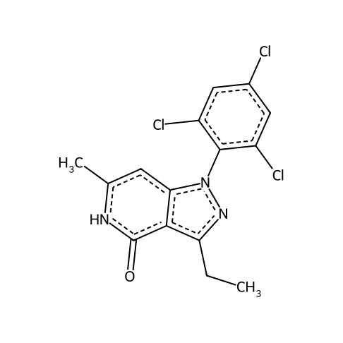 CCc1nn(-c2c(Cl)cc(Cl)cc2Cl)c2cc(C)[nH]c(=O)c12